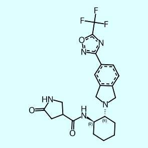 O=C1CC(C(=O)N[C@@H]2CCCC[C@H]2N2Cc3ccc(-c4noc(C(F)(F)F)n4)cc3C2)CN1